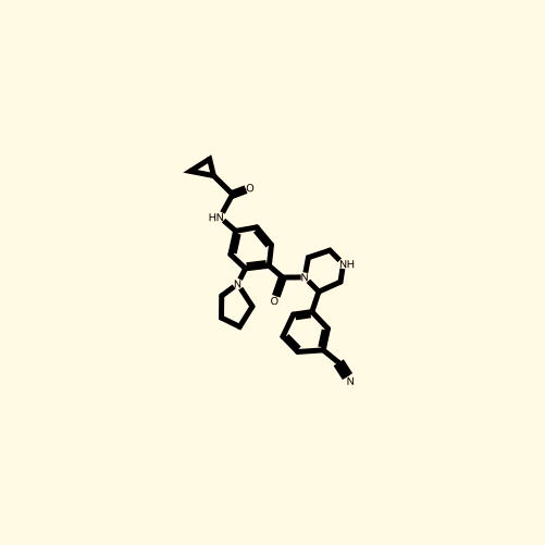 N#Cc1cccc(C2CNCCN2C(=O)c2ccc(NC(=O)C3CC3)cc2N2CCCC2)c1